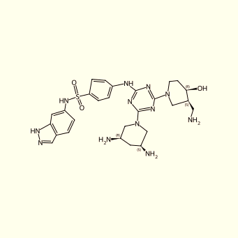 NC[C@H]1CN(c2nc(Nc3ccc(S(=O)(=O)Nc4ccc5cn[nH]c5c4)cc3)nc(N3C[C@H](N)C[C@H](N)C3)n2)CC[C@H]1O